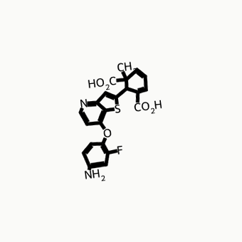 CC1(C(=O)O)C=CC=C(C(=O)O)C1c1cc2nccc(Oc3ccc(N)cc3F)c2s1